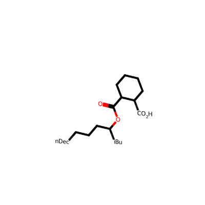 CCCCCCCCCCCCCC(OC(=O)C1CCCCC1C(=O)O)C(C)CC